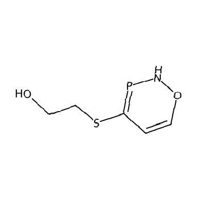 OCCSC1=PNOC=C1